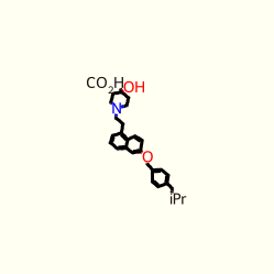 CC(C)Cc1ccc(COc2ccc3c(CCN4CCC(O)(C(=O)O)CC4)cccc3c2)cc1